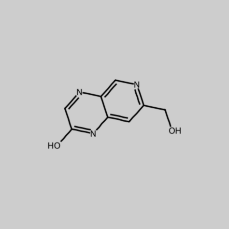 OCc1cc2nc(O)cnc2cn1